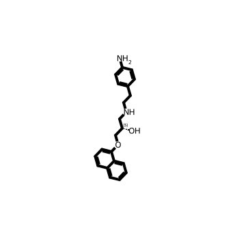 Nc1ccc(CCNC[C@H](O)COc2cccc3ccccc23)cc1